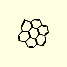 C1=CC2C=CC3C=Cc4ccc5ccc6ccc1c1c2c3c4c5c61